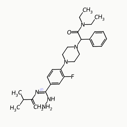 C=C(/N=C(\NN)c1ccc(N2CCN(C(C(=O)N(CC)CC)c3ccccc3)CC2)c(F)c1)C(C)C